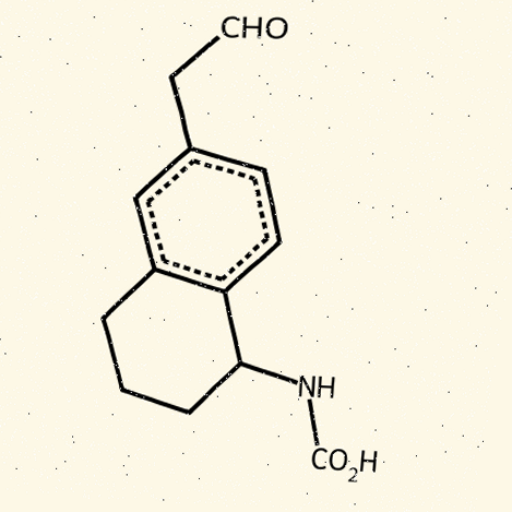 O=CCc1ccc2c(c1)CCCC2NC(=O)O